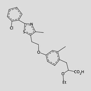 CCOC(Cc1ccc(OCCc2sc(-c3ccccc3Cl)nc2C)cc1C)C(=O)O